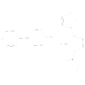 CCNC(=O)N1CCC(c2cc[nH]n2)C1COC1CCC(c2ccccc2)CC1